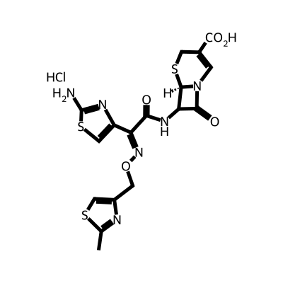 Cc1nc(CON=C(C(=O)NC2C(=O)N3C=C(C(=O)O)CS[C@H]23)c2csc(N)n2)cs1.Cl